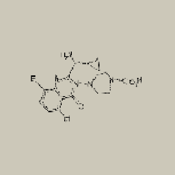 NC(c1nc2c(F)ccc(Cl)c2c(=O)n1N1CCN(C(=O)O)CC1)C1CC1